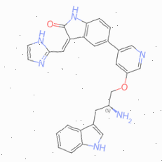 N[C@H](COc1cncc(-c2ccc3c(c2)C(=Cc2ncc[nH]2)C(=O)N3)c1)Cc1c[nH]c2ccccc12